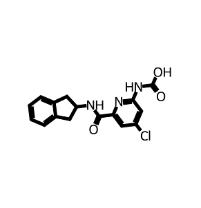 O=C(O)Nc1cc(Cl)cc(C(=O)NC2Cc3ccccc3C2)n1